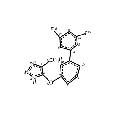 O=C(O)c1nn[nH]c1Oc1cccc(-c2cc(F)cc(F)c2)c1